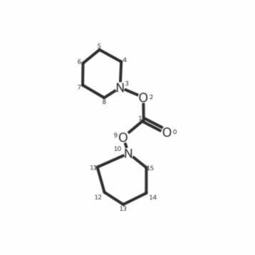 O=C(ON1CCCCC1)ON1CCCCC1